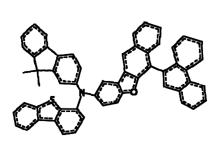 CC1(C)c2ccccc2-c2ccc(N(c3ccc4oc5c(-c6cc7ccccc7c7ccccc67)c6ccccc6cc5c4c3)c3cccc4c3sc3ccccc34)cc21